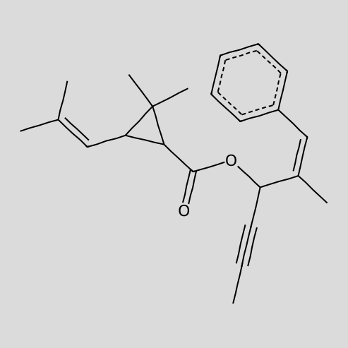 CC#CC(OC(=O)C1C(C=C(C)C)C1(C)C)C(C)=Cc1ccccc1